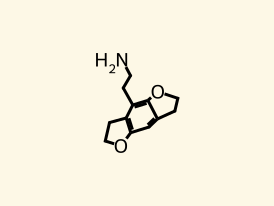 NCCc1c2c(cc3c1OCC3)OCC2